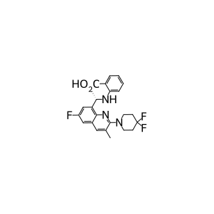 Cc1cc2cc(F)cc([C@H](C)Nc3ccccc3C(=O)O)c2nc1N1CCC(F)(F)CC1